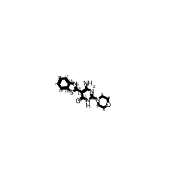 Nc1nc(N2CCOCC2)[nH]c(=O)c1-c1nc2ccccc2s1